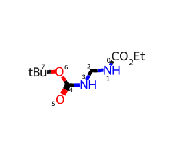 CCOC(=O)NCNC(=O)OC(C)(C)C